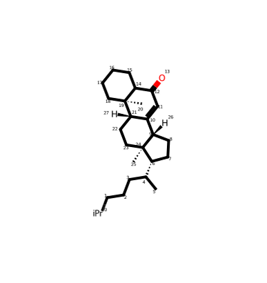 CC(C)CCCC(C)[C@H]1CC[C@H]2C3=CC(=O)C4CCCC[C@]4(C)[C@H]3CC[C@]12C